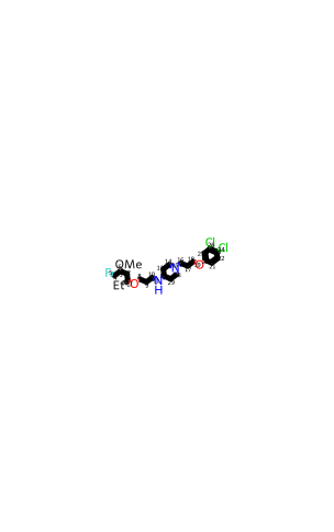 CCC(CC(CF)OC)OCCCNC1CCN(CCCOc2ccc(Cl)c(Cl)c2)CC1